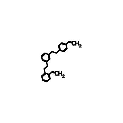 C=Cc1ccc(CCc2cccc(CCc3ccccc3C=C)c2)cc1